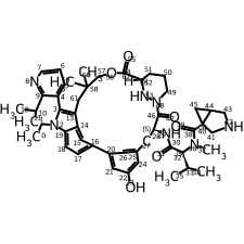 CCn1c(-c2cccnc2C(C)C)c2c3cc(ccc31)-c1cc(O)cc(c1)C[C@H](NC(=O)[C@H](C(C)C)N(C)C(=O)[C@]13CNCC1C3)C(=O)N1CCC[C@H](N1)C(=O)OCC(C)(C)C2